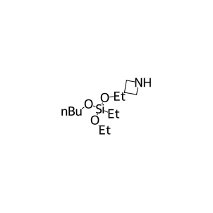 C1CNC1.CCCCO[Si](CC)(OCC)OCC